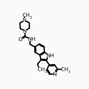 CCc1c(-c2ccnc(C)c2)[nH]c2ccc(CNC(=O)N3CCN(C)CC3)cc12